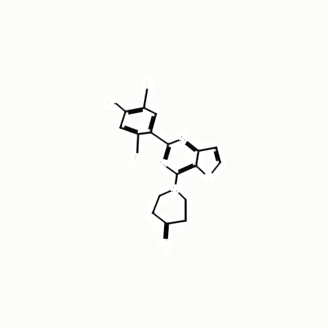 O=C1CCN(c2nc(-c3cc(F)c(Cl)cc3F)nc3ccsc23)CC1